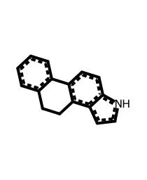 c1ccc2c(c1)CCc1c-2ccc2[nH]ccc12